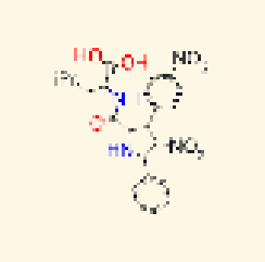 CC(C)CC(NC(=O)C1NC(c2ccccc2)C([N+](=O)[O-])C1c1ccc([N+](=O)[O-])cc1)B(O)O